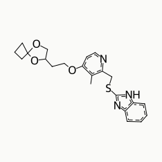 Cc1c(OCCC2COC3(CCC3)O2)ccnc1CSc1nc2ccccc2[nH]1